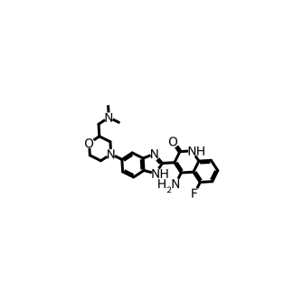 CN(C)CC1CN(c2ccc3[nH]c(-c4c(N)c5c(F)cccc5[nH]c4=O)nc3c2)CCO1